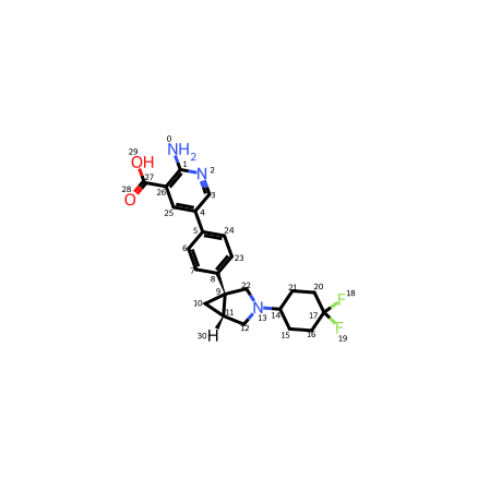 Nc1ncc(-c2ccc([C@]34C[C@H]3CN(C3CCC(F)(F)CC3)C4)cc2)cc1C(=O)O